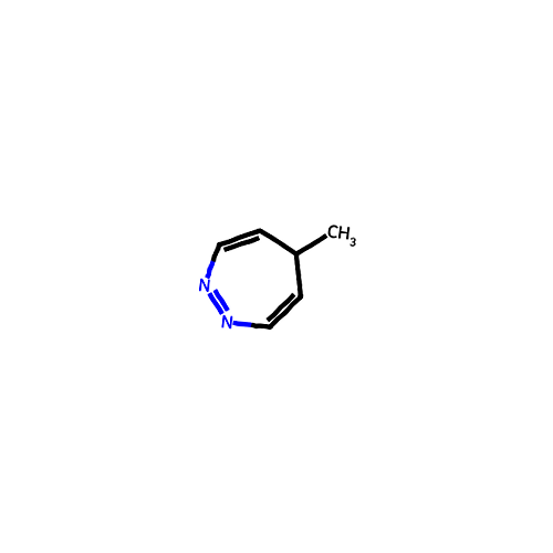 CC1C=CN=NC=C1